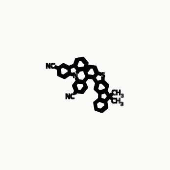 CC1(C)C2=C(CCC=C2)c2cc3c(cc21)sc1cccc(-c2ccc(C#N)cc2-n2c4ccccc4c4cc(C#N)ccc42)c13